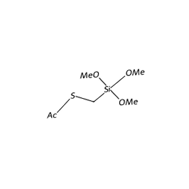 CO[Si](CSC(C)=O)(OC)OC